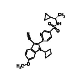 COc1ccc2c(C#N)c(-c3ccc(S(=O)(=O)N[C@@H](C)C4CC4)cn3)n(C3CCC3)c2c1